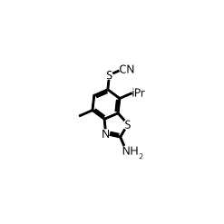 Cc1cc(SC#N)c(C(C)C)c2sc(N)nc12